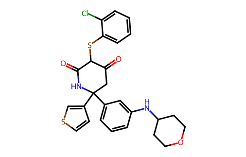 O=C1CC(c2ccsc2)(c2cccc(NC3CCOCC3)c2)NC(=O)C1Sc1ccccc1Cl